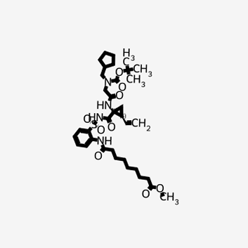 C=C[C@@H]1C[C@@]1(NC(=O)CN(CC1CCCC1)C(=O)OC(C)(C)C)C(=O)NS(=O)(=O)c1ccccc1NC(=O)CCCCCCCC(=O)OC